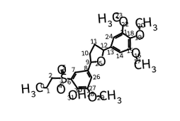 CCCS(=O)(=O)c1cc(C2CCC(c3cc(OC)c(OC)c(OC)c3)O2)cc(OC)c1O